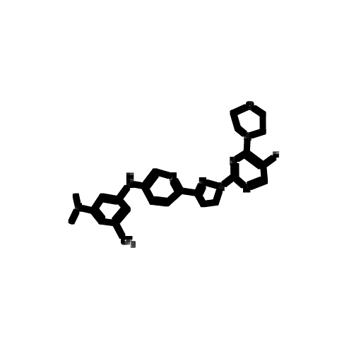 CN(C)c1cc(Nc2ccc(C3=NN(c4ncc(F)c(N5CCOCC5)n4)CC3)nc2)cc(C(F)(F)F)c1